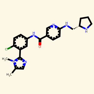 Cc1cnc(-c2cc(NC(=O)c3ccc(NC[C@@H]4CCCN4)nc3)ccc2Cl)n1C